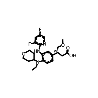 CCN(c1ccc([C@@H](COC)CC(=O)O)cc1Nc1ncc(F)cc1F)C1CCOCC1